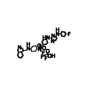 CN(C1CCC(NCc2cncc3ccccc23)CC1)S(=O)(=O)c1ccc(Nc2nccc(Nc3ccc(F)cc3)n2)cc1.O=C(O)C(F)(F)F